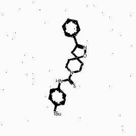 CC(C)(C)c1ccc(NC(=S)N2CCC3(CC2)CC(c2ccccc2)=NO3)cc1